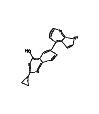 Oc1nc(C2CC2)nc2ccc(-c3ccnc4[nH]ccc34)cc12